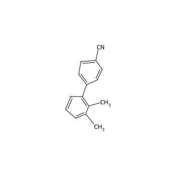 Cc1cc[c]c(-c2ccc(C#N)cc2)c1C